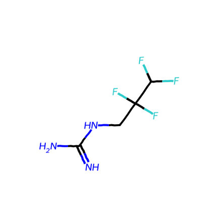 N=C(N)NCC(F)(F)C(F)F